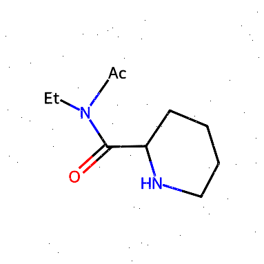 CCN(C(C)=O)C(=O)C1CCCCN1